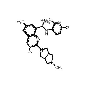 Cc1cc([C@@H](C)Nc2ccc(Cl)nc2C(=O)O)c2nc(N3CC4CN(C)CC4C3)c(C#N)nc2c1